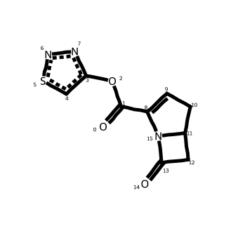 O=C(Oc1csnn1)C1=CCC2CC(=O)N12